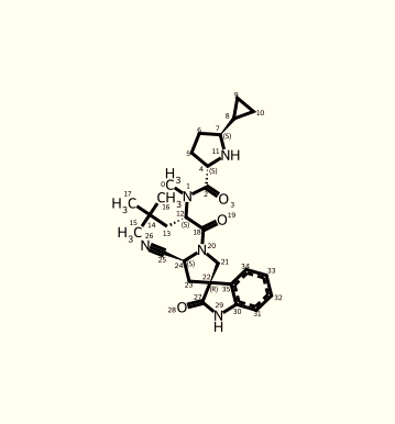 CN(C(=O)[C@@H]1CC[C@@H](C2CC2)N1)[C@@H](CC(C)(C)C)C(=O)N1C[C@]2(C[C@H]1C#N)C(=O)Nc1ccccc12